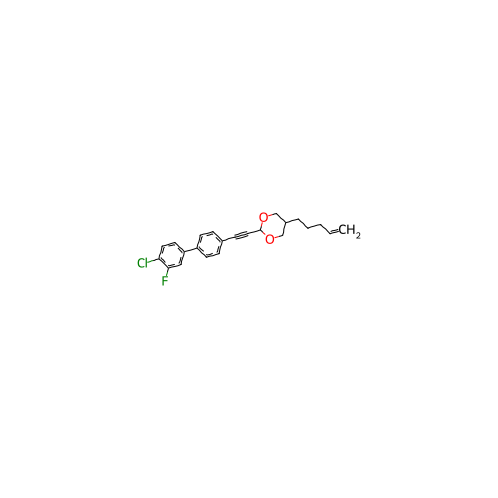 C=CCCCC1COC(C#Cc2ccc(-c3ccc(Cl)c(F)c3)cc2)OC1